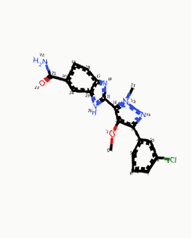 COc1c(-c2cccc(Cl)c2)nn(C)c1-c1nc2ccc(C(N)=O)cc2[nH]1